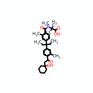 CCC(CC)(c1ccc(C(=O)CC2(O)CCCCC2)c(C)c1)c1ccc(C(=O)N(C)C(C)(C)C(=O)O)c(C)c1